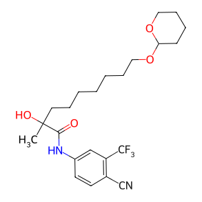 CC(O)(CCCCCCCOC1CCCCO1)C(=O)Nc1ccc(C#N)c(C(F)(F)F)c1